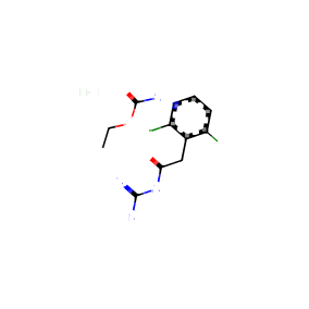 CCOC(N)=O.Cl.N=C(N)NC(=O)Cc1c(Cl)cccc1Cl